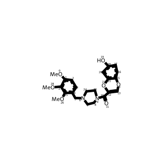 COc1ccc(CN2CCN(C(=O)C3=COc4ccc(O)cc4O3)CC2)c(OC)c1OC